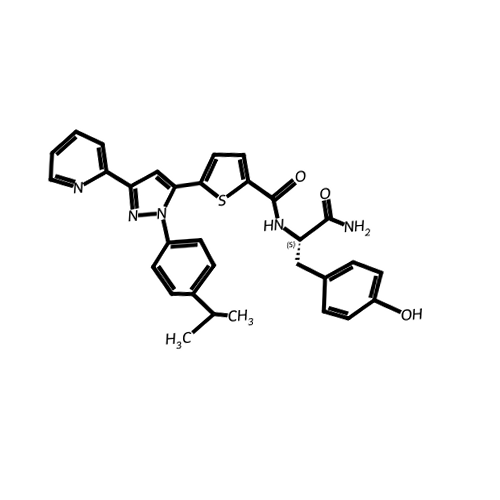 CC(C)c1ccc(-n2nc(-c3ccccn3)cc2-c2ccc(C(=O)N[C@@H](Cc3ccc(O)cc3)C(N)=O)s2)cc1